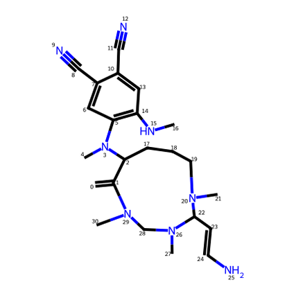 C=C1C(N(C)c2cc(C#N)c(C#N)cc2NC)CCCN(C)C(C=CN)N(C)CN1C